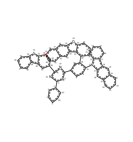 c1ccc(-c2nc(-c3ccc(-n4c5ccccc5c5cc6ccccc6cc54)c(-c4cccc5oc6cc7ccccc7cc6c45)c3)nc(-c3ccc4sc5ccccc5c4c3)n2)cc1